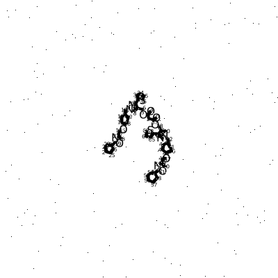 O=C(CC(=O)OCc1cn(Cc2ccc(OCc3coc(-c4ccccc4)n3)cc2)nc1-c1cccs1)OCc1cn(Cc2ccc(OCc3coc(-c4ccccc4)n3)cc2)nc1-c1cccs1